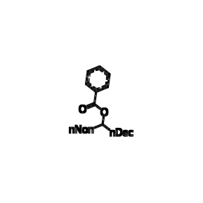 CCCCCCCCCCC(CCCCCCCCC)OC(=O)c1ccccc1